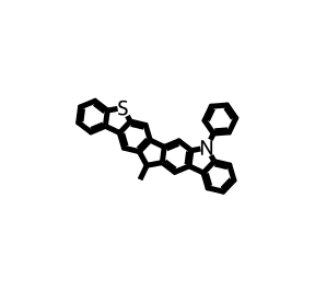 CC1c2cc3c(cc2-c2cc4c(cc21)c1ccccc1n4-c1ccccc1)sc1ccccc13